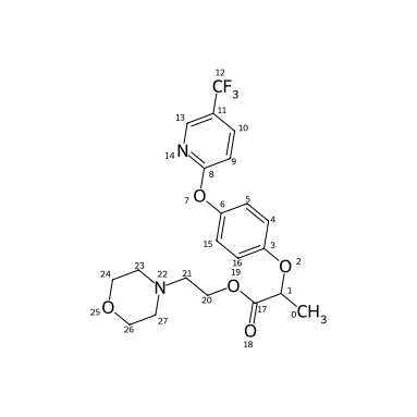 CC(Oc1ccc(Oc2ccc(C(F)(F)F)cn2)cc1)C(=O)OCCN1CCOCC1